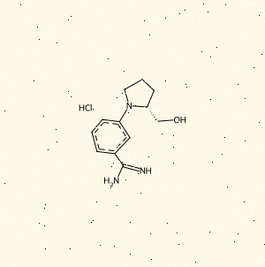 Cl.N=C(N)c1cccc(N2CCC[C@@H]2CO)c1